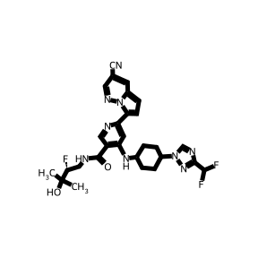 CC(C)(O)[C@H](F)CNC(=O)c1cnc(-c2ccc3cc(C#N)cnn23)cc1NC1CCC(n2cnc(C(F)F)n2)CC1